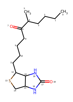 CCCCC(C)C(=O)CCCCC1SCC2NC(=O)NC21